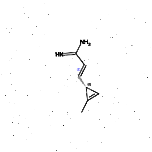 CC1=C[C@H]1/C=C/C(=N)N